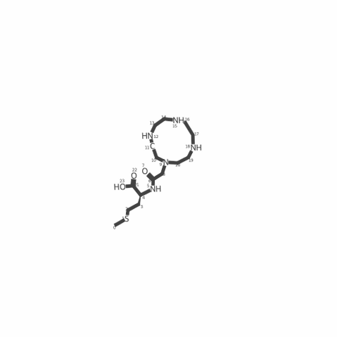 CSCC[C@H](NC(=O)CN1CCNCCNCCNCC1)C(=O)O